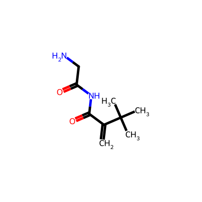 C=C(C(=O)NC(=O)CN)C(C)(C)C